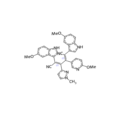 COc1ccc2[nH]cc(/C(C#N)=C(/C(=C(/C#N)c3c[nH]c4ccc(OC)cc34)c3ccn(C)n3)c3ccc(OC)nc3)c2c1